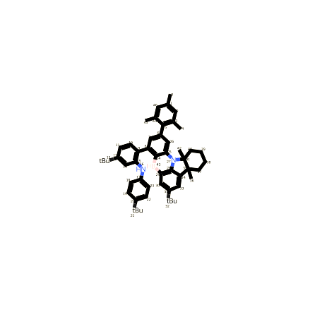 Cc1cc(C)c(-c2cc(-c3ccc(C(C)(C)C)cc3Nc3ccc(C(C)(C)C)cc3)c3c(c2)N2c4c(cc(C(C)(C)C)cc4C4(C)CCCCC24C)B3)c(C)c1